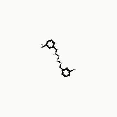 Clc1cccc(CSSSSCc2cccc(Cl)c2)c1